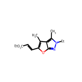 CCOC(=O)C=Cc1oc2nn(CC)c(C)c2c1C